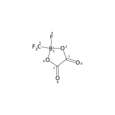 O=C1O[B-](F)(C(F)(F)F)OC1=O